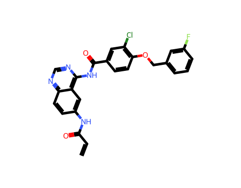 C=CC(=O)Nc1ccc2ncnc(NC(=O)c3ccc(OCc4cccc(F)c4)c(Cl)c3)c2c1